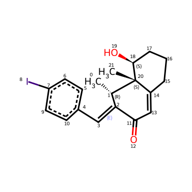 C[C@H]1/C(=C\c2ccc(I)cc2)C(=O)C=C2CCC[C@H](O)[C@]21C